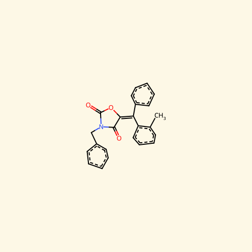 Cc1ccccc1/C(=C1/OC(=O)N(Cc2ccccc2)C1=O)c1ccccc1